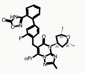 CCCc1c(Cc2ccc(-c3ccccc3-c3noc(=O)[nH]3)cc2F)c(=O)n([C@@H]2C[C@@H](C)O[C@@H](C)C2)c2nc(C)nn12